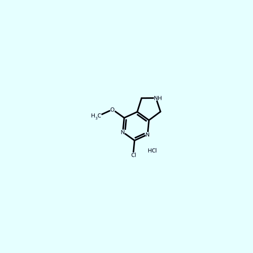 COc1nc(Cl)nc2c1CNC2.Cl